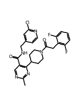 Cc1ncc(C(=O)NCc2ccnc(Cl)c2)c(C2CCN(C(=O)Cc3c(F)cccc3F)CC2)n1